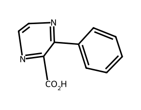 O=C(O)c1nccnc1-c1ccccc1